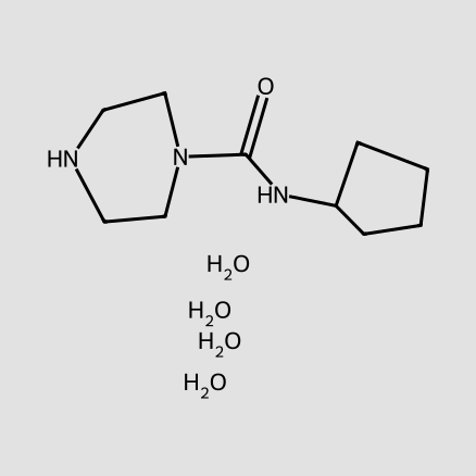 O.O.O.O.O=C(NC1CCCC1)N1CCNCC1